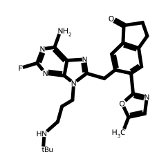 Cc1cnc(-c2cc3c(cc2Cc2nc4c(N)nc(F)nc4n2CCCNC(C)(C)C)C(=O)CC3)o1